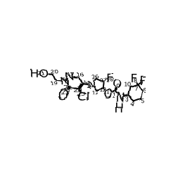 O=C(NC1CCCC(F)(F)C1)O[C@H]1CN(c2cnn(CCO)c(=O)c2Cl)C[C@@H]1F